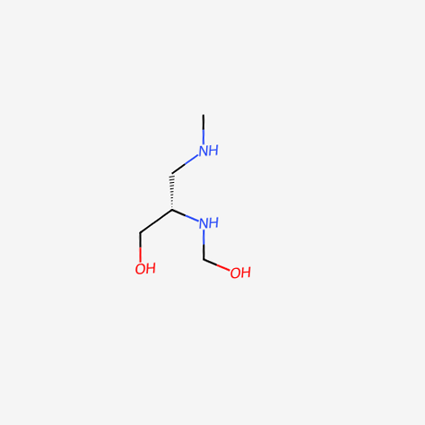 CNC[C@@H](CO)NCO